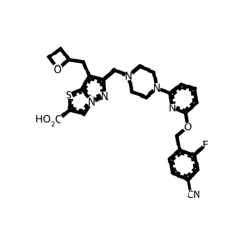 N#Cc1ccc(COc2cccc(N3CCN(Cc4nn5cc(C(=O)O)sc5c4CC4CCO4)CC3)n2)c(F)c1